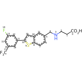 O=C(O)CCNCc1ccc2sc(-c3cc(F)cc(C(F)(F)F)c3)cc2c1